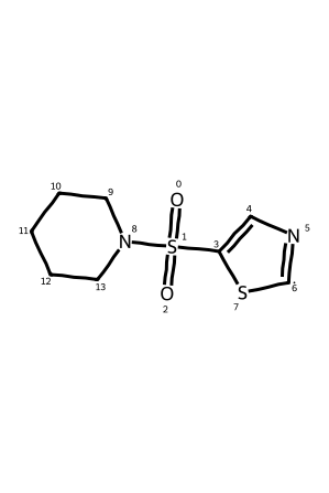 O=S(=O)(c1cn[c]s1)N1CCCCC1